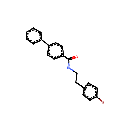 O=C(NCCc1ccc(Br)cc1)c1ccc(-c2ccccc2)cc1